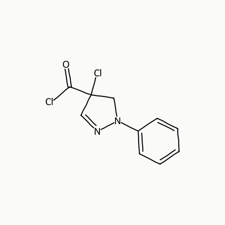 O=C(Cl)C1(Cl)C=NN(c2ccccc2)C1